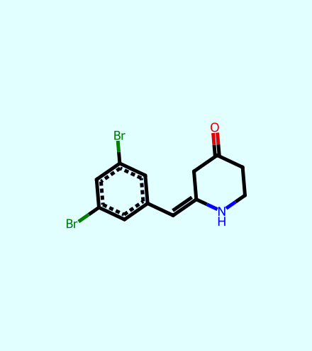 O=C1CCNC(=Cc2cc(Br)cc(Br)c2)C1